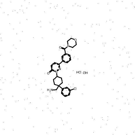 Cl.Cl.NCC1(c2cccc(Cl)c2)CCC(n2nc(-c3cccc(C(=O)N4CCOCC4)c3)ccc2=O)CC1